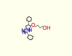 OCCCCOc1nn2c(-c3ccccc3)nnc2cc1-c1ccccc1